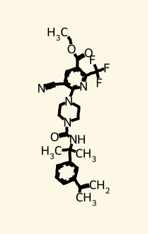 C=C(C)c1cccc(C(C)(C)NC(=O)N2CCN(c3nc(C(F)(F)F)c(C(=O)OCC)cc3C#N)CC2)c1